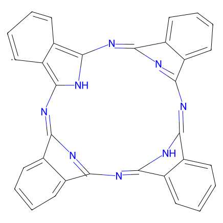 [c]1cccc2c3nc4nc(nc5[nH]c(nc6nc(nc([nH]3)c12)-c1ccccc1-6)c1ccccc51)-c1ccccc1-4